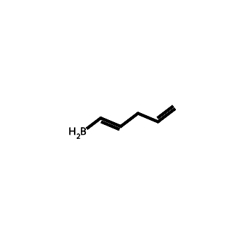 B/C=C/CC=C